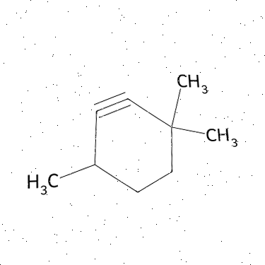 CC1C#CC(C)(C)CC1